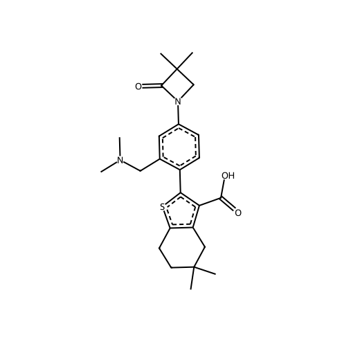 CN(C)Cc1cc(N2CC(C)(C)C2=O)ccc1-c1sc2c(c1C(=O)O)CC(C)(C)CC2